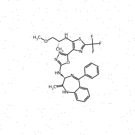 C=C1Nc2ccccc2C(c2ccccc2)=N[C@@H]1Nc1nnc(-c2nc(C(F)(F)F)sc2N[C@H](C)COC)o1